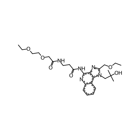 CCOCCOCC(=O)NCCC(=O)Nc1nc2ccccc2c2c1nc(COCC)n2CC(C)(C)O